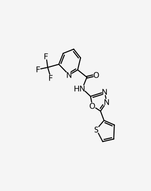 O=C(Nc1nnc(-c2cccs2)o1)c1cccc(C(F)(F)F)n1